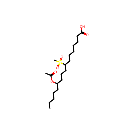 CCCCCC(CCCC(CCCCCCC(=O)O)S(C)(=O)=O)OC(C)=O